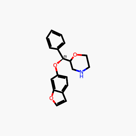 c1ccc([C@H](Oc2ccc3ccoc3c2)C2CNCCO2)cc1